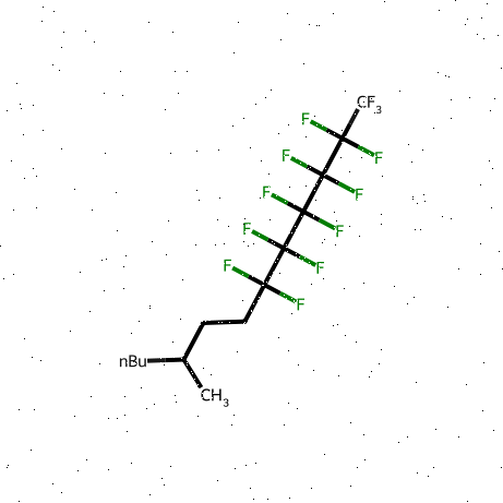 CCCCC(C)CCC(F)(F)C(F)(F)C(F)(F)C(F)(F)C(F)(F)C(F)(F)F